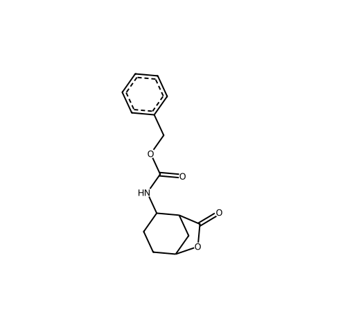 O=C(NC1CCC2CC1C(=O)O2)OCc1ccccc1